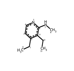 CCc1ccnc(NC)c1CC